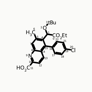 CCOC(=O)C(OC(C)(C)C)c1c(C)cc2nc(C(=O)O)ccc2c1-c1ccc(Cl)cc1